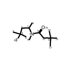 CC(CC(C)(C)F)N(C)C(=O)CC(C)(C)C